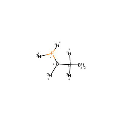 [2H]B(P([2H])[3H])C([3H])([3H])B